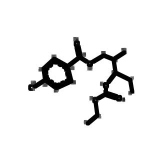 CCOC(=O)OC(CC)C(C)COC(=O)c1ccc(Cl)cc1